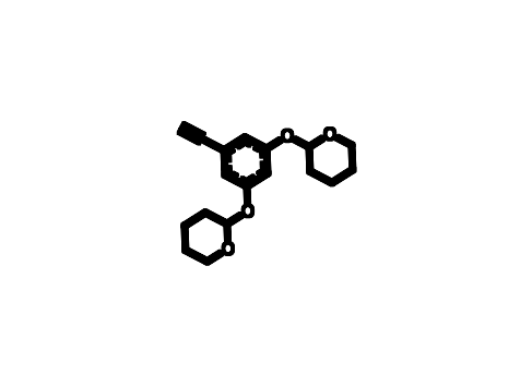 C#Cc1cc(OC2CCCCO2)cc(OC2CCCCO2)c1